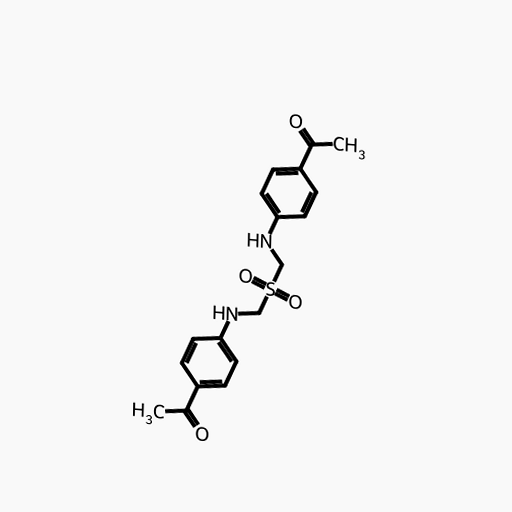 CC(=O)c1ccc(NCS(=O)(=O)CNc2ccc(C(C)=O)cc2)cc1